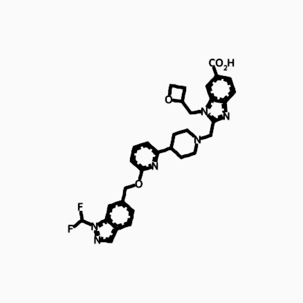 O=C(O)c1ccc2nc(CN3CCC(c4cccc(OCc5ccc6cnn(C(F)F)c6c5)n4)CC3)n(CC3CCO3)c2c1